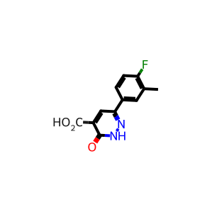 Cc1cc(-c2cc(C(=O)O)c(=O)[nH]n2)ccc1F